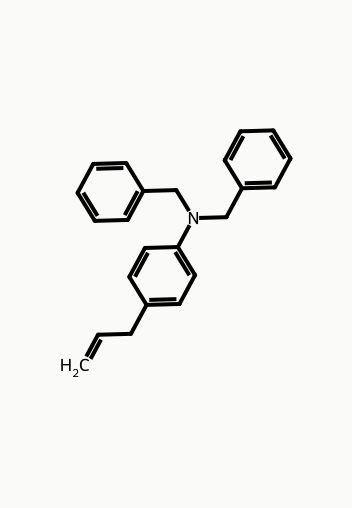 C=CCc1ccc(N(Cc2ccccc2)Cc2ccccc2)cc1